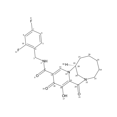 O=C(NCc1ccc(F)cc1F)c1cn2c(c(O)c1=O)C(=O)N1CCCCC[C@H]2C1